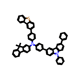 CC1(C)c2ccccc2-c2ccc(N(c3ccc(-c4ccc5sc6ccccc6c5c4)cc3)c3ccc(-c4ccc5c(c4)c4cc(-c6ccccc6)ccc4n5-c4ccccc4)cc3)cc21